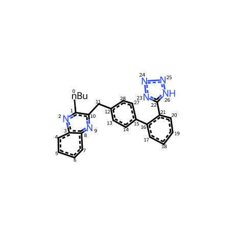 CCCCc1nc2ccccc2nc1Cc1ccc(-c2ccccc2-c2nnn[nH]2)cc1